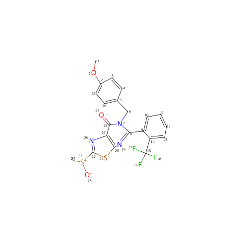 COc1ccc(Cn2c(-c3ccccc3C(F)(F)F)nc3sc([S+](C)[O-])nc3c2=O)cc1